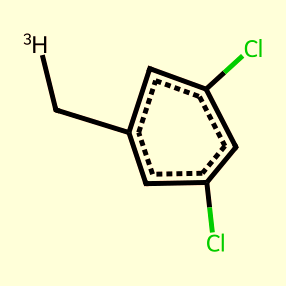 [3H]Cc1cc(Cl)cc(Cl)c1